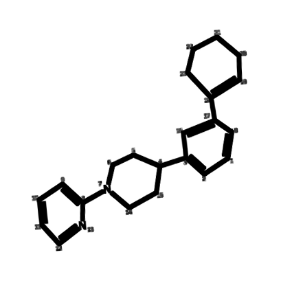 [c]1ccc(C2CCN(c3ccccn3)CC2)cc1C1=CCCCC1